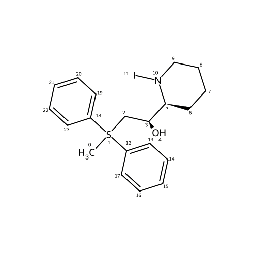 CS(C[C@H](O)[C@@H]1CCCCN1I)(c1ccccc1)c1ccccc1